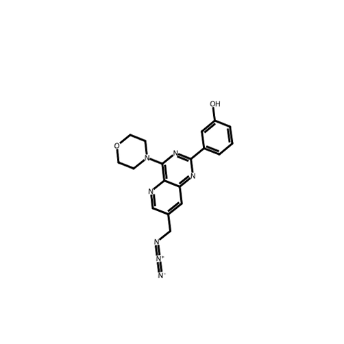 [N-]=[N+]=NCc1cnc2c(N3CCOCC3)nc(-c3cccc(O)c3)nc2c1